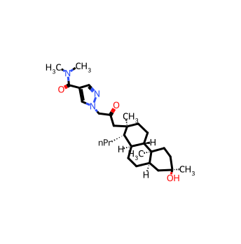 CCC[C@H]1[C@@H]2CC[C@@H]3C[C@](C)(O)CC[C@]3(C)[C@H]2CC[C@]1(C)CC(=O)Cn1cc(C(=O)N(C)C)cn1